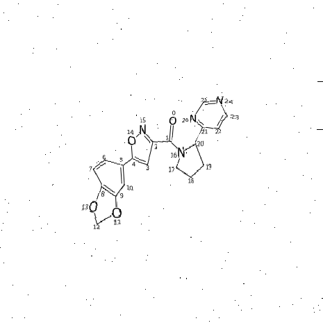 O=C(c1cc(-c2ccc3c(c2)OCO3)on1)N1CCCC1c1ccncn1